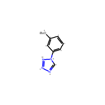 CC(C)COc1cccc(-n2cnnn2)c1